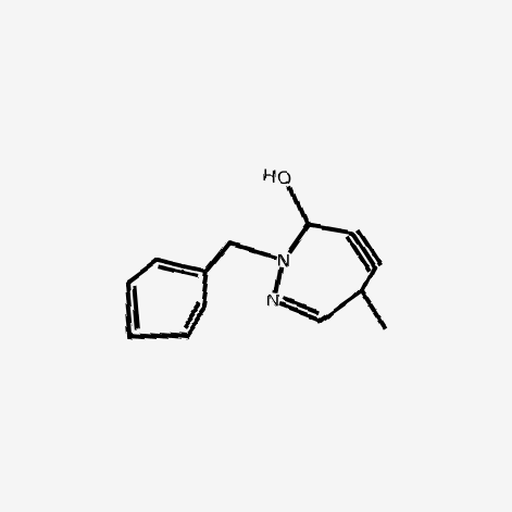 CC1C#CC(O)N(Cc2ccccc2)N=C1